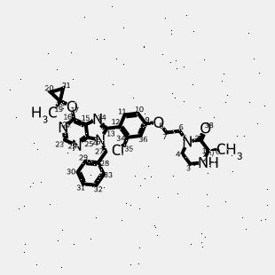 C[C@H]1NCCN(CCOc2ccc(-c3nc4c(OC5(C)CC5)ncnc4n3Cc3ccccc3)c(Cl)c2)C1=O